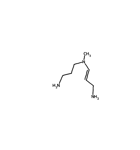 CN(C=CCN)CCCN